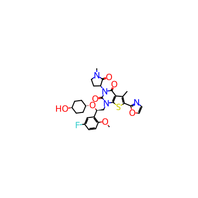 COc1ccc(F)cc1[C@H](Cn1c(=O)n([C@H]2CCN(C)C2=O)c(=O)c2c(C)c(-c3ncco3)sc21)O[C@H]1CC[C@H](O)CC1